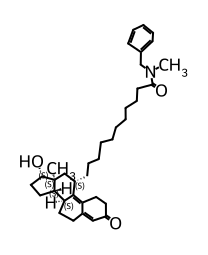 CN(Cc1ccccc1)C(=O)CCCCCCCCCC[C@H]1C[C@]2(C)[C@@H](O)CC[C@H]2[C@@H]2CCC3=CC(=O)CCC3=C12